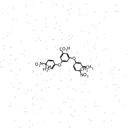 C=C/C=C(\C=C/C(=C)[N+](=O)[O-])Oc1cc(OC(/C=C\C(=C)[N+](=O)[O-])=C/C)cc(C(=O)O)c1